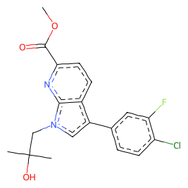 COC(=O)c1ccc2c(-c3ccc(Cl)c(F)c3)cn(CC(C)(C)O)c2n1